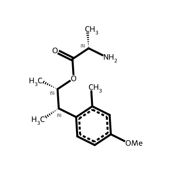 COc1ccc([C@H](C)[C@H](C)OC(=O)[C@H](C)N)c(C)c1